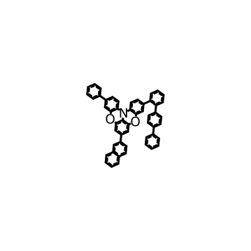 c1ccc(-c2ccc(-c3ccccc3-c3ccc4c(c3)Oc3cc(-c5ccc6ccccc6c5)cc5c3N4c3ccc(-c4ccccc4)cc3O5)cc2)cc1